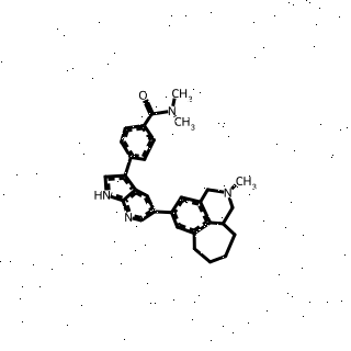 CN1Cc2cc(-c3cnc4[nH]cc(-c5ccc(C(=O)N(C)C)cc5)c4c3)cc3c2C(CCCC3)C1